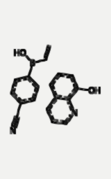 C=CB(O)c1ccc(C#N)cc1.Oc1cccc2cccnc12